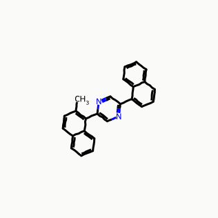 Cc1ccc2ccccc2c1-c1cnc(-c2cccc3ccccc23)cn1